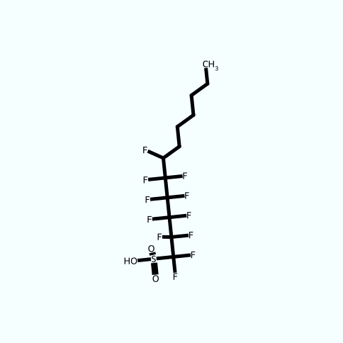 CCCCCCC(F)C(F)(F)C(F)(F)C(F)(F)C(F)(F)C(F)(F)S(=O)(=O)O